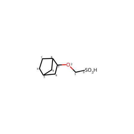 O=S(=O)(O)COC1CC2CCC1C2